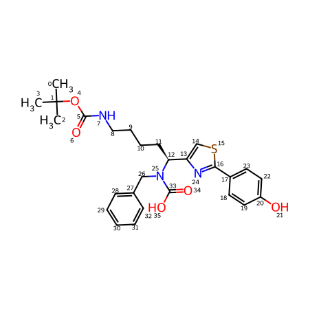 CC(C)(C)OC(=O)NCCCC[C@@H](c1csc(-c2ccc(O)cc2)n1)N(Cc1ccccc1)C(=O)O